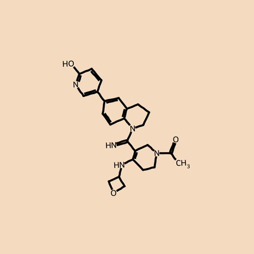 CC(=O)N1CCC(NC2COC2)=C(C(=N)N2CCCc3cc(-c4ccc(O)nc4)ccc32)C1